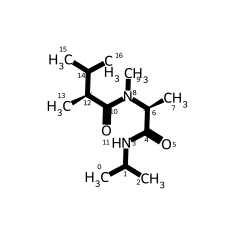 CC(C)NC(=O)[C@H](C)N(C)C(=O)[C@@H](C)C(C)C